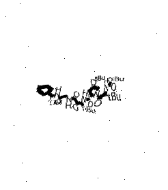 CCCCC(NC(=O)[C@@H]1C[C@@H](OC(C)(C)C)CN1C(=O)[C@@H](NC(=O)OCC(C)C)C(C)(C)C)C(=O)C(=O)NCC(=O)N[C@H](CO)c1ccccc1